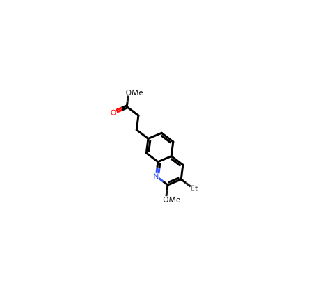 CCc1cc2ccc(CCC(=O)OC)cc2nc1OC